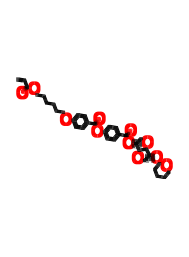 C=CC(=O)OCCCCCCOc1ccc(C(=O)Oc2ccc(C(=O)O[C@@H]3COC4C3OC[C@@H]4OC3CCCCO3)cc2)cc1